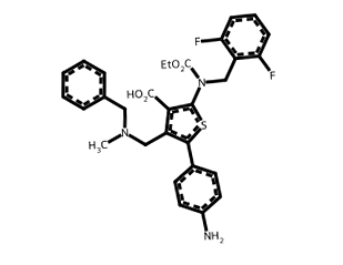 CCOC(=O)N(Cc1c(F)cccc1F)c1sc(-c2ccc(N)cc2)c(CN(C)Cc2ccccc2)c1C(=O)O